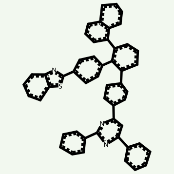 c1ccc(-c2cc(-c3ccc(-c4cccc(-c5cccc6ccccc56)c4-c4ccc(-c5nc6ccccc6s5)cc4)cc3)nc(-c3ccccc3)n2)cc1